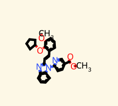 COC(=O)c1ccc(-n2c(C=Cc3cccc(OC)c3OC3CCCC3)nc3ccccc32)nc1